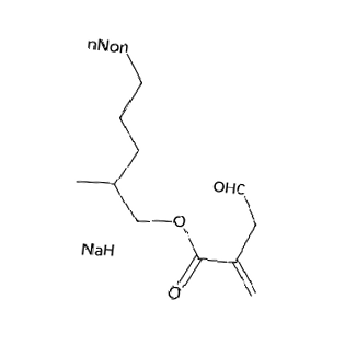 C=C(CC=O)C(=O)OCC(C)CCCCCCCCCCCC.[NaH]